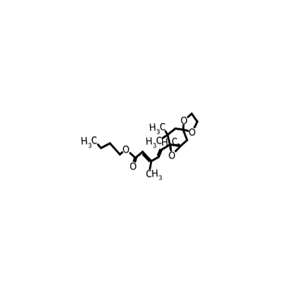 CCCCOC(=O)C=C(C)C=CC12OC1(C)CC1(CC2(C)C)OCCO1